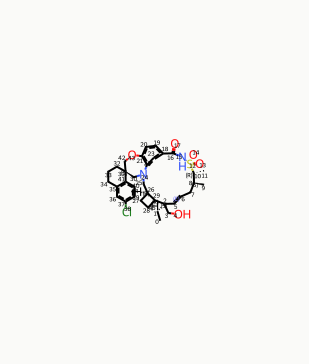 CC[C@@]1(CO)/C=C/C[C@H](C)[C@@H](C)S(=O)(=O)NC(=O)c2ccc3c(c2)N(C[C@@H]2CC[C@H]21)C[C@@]1(CCCc2cc(Cl)ccc21)CO3